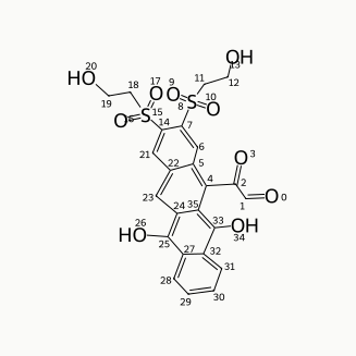 O=CC(=O)c1c2cc(S(=O)(=O)CCO)c(S(=O)(=O)CCO)cc2cc2c(O)c3ccccc3c(O)c12